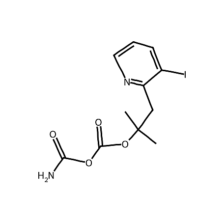 CC(C)(Cc1ncccc1I)OC(=O)OC(N)=O